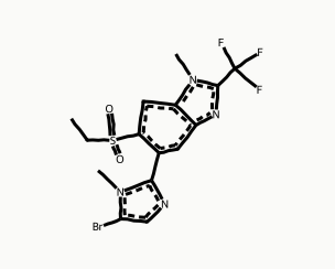 CCS(=O)(=O)c1cc2c(cc1-c1ncc(Br)n1C)nc(C(F)(F)F)n2C